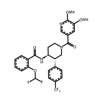 COc1cc(C(=O)N2CC[C@H](NC(=O)c3ccccc3OC(F)F)[C@@H](c3ccc(C(F)(F)F)cc3)C2)cnc1OC